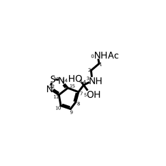 CC(=O)NCCNC(O)(O)c1cccc2nsnc12